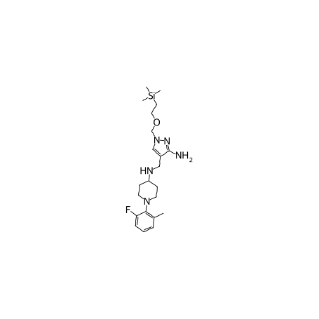 Cc1cccc(F)c1N1CCC(NCc2cn(COCC[Si](C)(C)C)nc2N)CC1